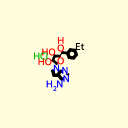 CCc1cccc(C(O)[C@H]2O[C@@H](n3ccc4c(N)ncnc43)[C@H](O)[C@@H]2O)c1.Cl